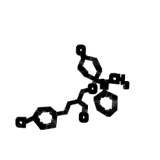 CN(c1ccccc1)C1(OCC(C=O)CCc2ccc(Cl)cc2)C=CC(=O)C=C1